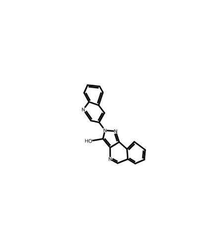 Oc1c2ncc3ccccc3c2nn1-c1cnc2ccccc2c1